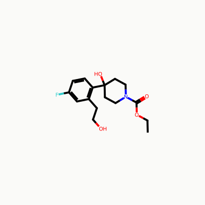 CCOC(=O)N1CCC(O)(c2ccc(F)cc2CCO)CC1